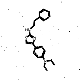 CCN(CC)c1ccc(-c2csc(NCCc3ccccc3)n2)cc1